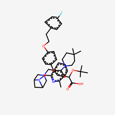 Cc1nc(CN2C3CC2CN(Cc2ccccc2)C3)c(-c2ccc(OCCc3ccc(F)cc3)cc2)c(N2CCC(C)(C)CC2)c1C(OC(C)(C)C)C(=O)O